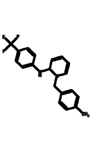 Cc1ccc(CN2C=CC=CC2Nc2ccc(C(F)(F)F)cc2)cc1